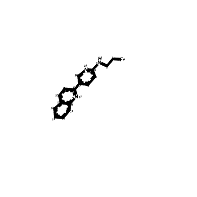 FCCNc1ccc(-c2ccc3ccccc3n2)cn1